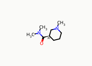 CN1CCC[C@@H](C(=O)N(C)C)C1